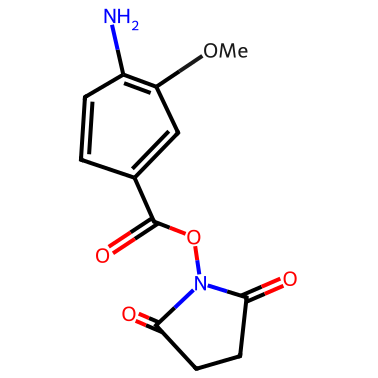 COc1cc(C(=O)ON2C(=O)CCC2=O)ccc1N